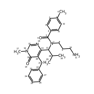 Cc1ccc(C(=O)N(CCCN)C(c2ncn(C)c(=O)c2Cc2ccccc2)C(C)C)cc1